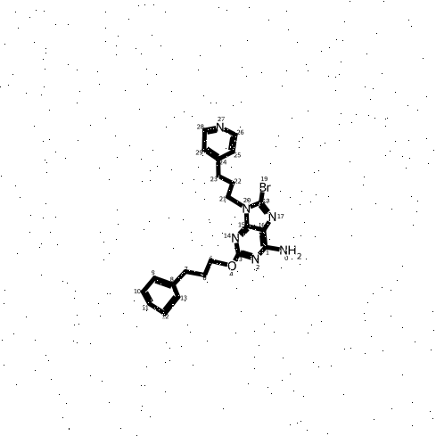 Nc1nc(OCCCc2ccccc2)nc2c1nc(Br)n2CCCc1ccncc1